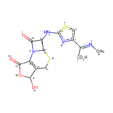 CC(=O)O/N=C(\C(=O)O)c1csc(NC2C(=O)N3C4=C(CSC23)C(O)OC4=O)n1